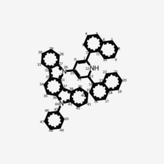 C1=C(c2cccc3ccccc23)NC(c2cccc3ccccc23)C=C1n1c2ccccc2c2ccc3c(c4ccccc4n3-c3ccccc3)c21